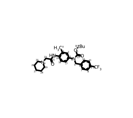 Cc1cc(N(Cc2ccc(C(F)(F)F)cc2)C(=O)OC(C)(C)C)ccc1NC(=O)CN1CCCCC1